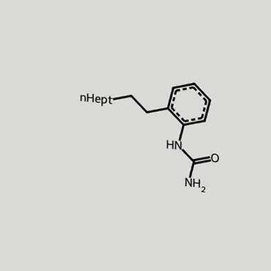 CCCCCCCCCc1ccccc1NC(N)=O